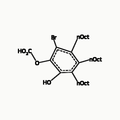 CCCCCCCCc1c(O)c(OC(=O)O)c(Br)c(CCCCCCCC)c1CCCCCCCC